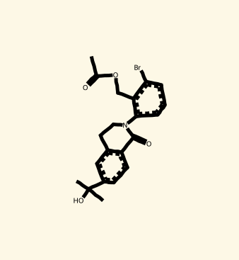 CC(=O)OCc1c(Br)cccc1N1CCc2cc(C(C)(C)O)ccc2C1=O